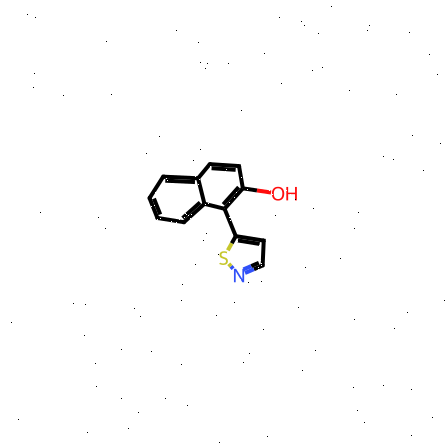 Oc1ccc2ccccc2c1-c1ccns1